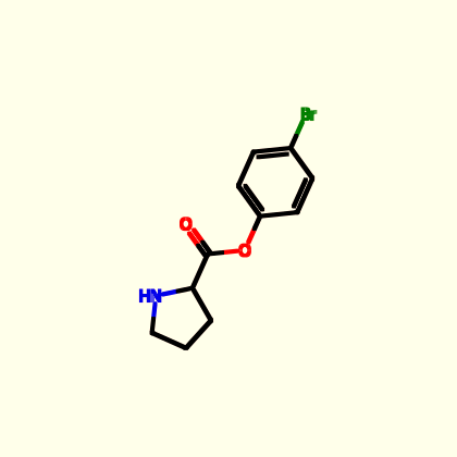 O=C(Oc1ccc(Br)cc1)C1CCCN1